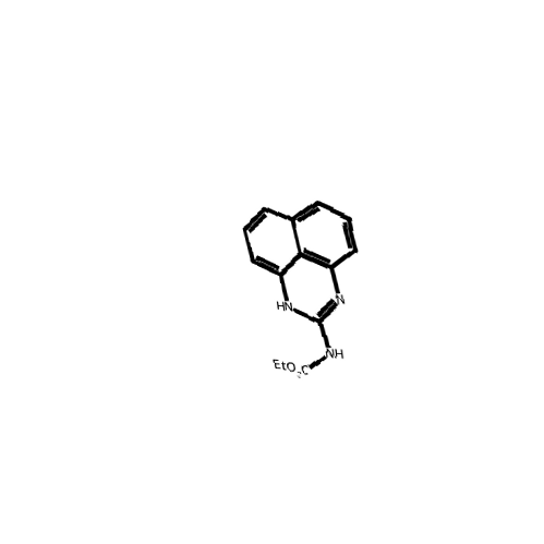 CCOC(=O)NC1=Nc2cccc3cccc(c23)N1